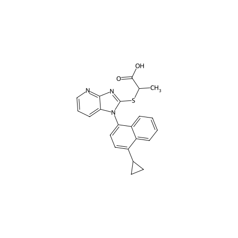 CC(Sc1nc2ncccc2n1-c1ccc(C2CC2)c2ccccc12)C(=O)O